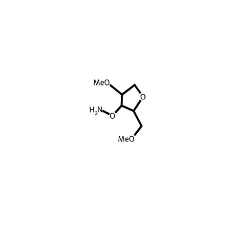 COCC1OCC(OC)C1ON